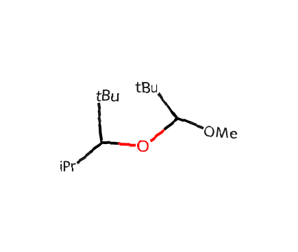 COC(OC(C(C)C)C(C)(C)C)C(C)(C)C